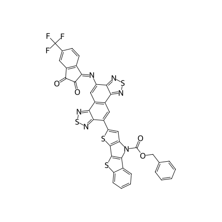 O=C(OCc1ccccc1)n1c2cc(-c3cc4c(cc(/N=c5\c(=O)c(=O)c6cc(C(F)(F)F)ccc56)c5nsnc54)c4nsnc34)sc2c2sc3ccccc3c21